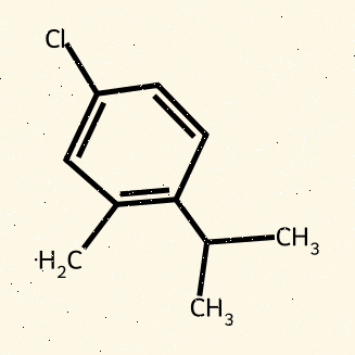 [CH2]c1cc(Cl)ccc1C(C)C